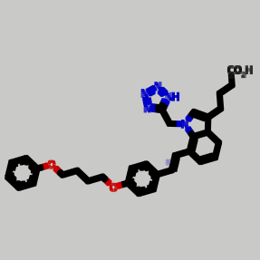 O=C(O)CCCC1=CN(Cc2nnn[nH]2)C2=C(/C=C/c3ccc(OCCCCOc4ccccc4)cc3)C=CCC12